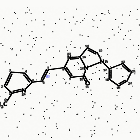 Cc1cccc(/C=C/c2cc(=O)n3c(ccn3-c3ccccc3)n2)n1